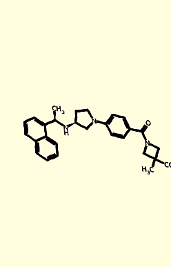 C[C@@H](N[C@H]1CCN(c2ccc(C(=O)N3CC(C)(C(=O)O)C3)cc2)C1)c1cccc2ccccc12